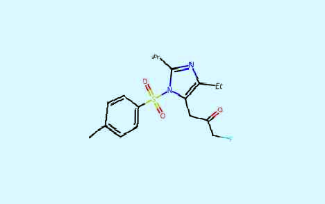 CCc1nc(C(C)C)n(S(=O)(=O)c2ccc(C)cc2)c1CC(=O)CF